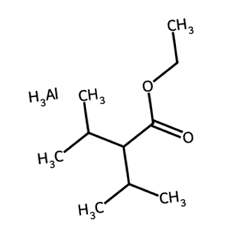 CCOC(=O)C(C(C)C)C(C)C.[AlH3]